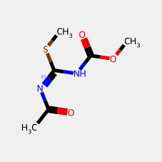 COC(=O)N/C(=N\C(C)=O)SC